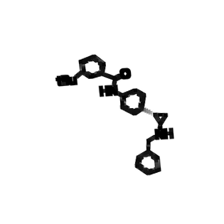 CC(C)(C)c1cccc(C(=O)Nc2ccc([C@@H]3C[C@H]3NCc3ccccc3)cc2)c1